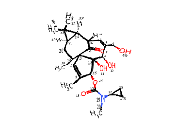 CC1=CC23C(=O)[C@@H](C=C(CO)[C@@H](O)[C@]2(O)[C@H]1OC(=O)N(C)C1CC1)[C@H]1[C@@H](CC3C)C1(C)C